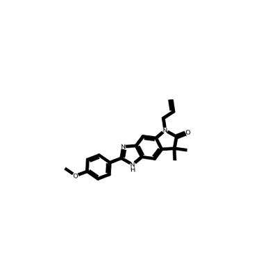 C=CCN1C(=O)C(C)(C)c2cc3[nH]c(-c4ccc(OC)cc4)nc3cc21